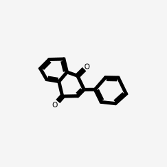 O=C1C=C(c2ccccc2)C(=O)c2ccccc21